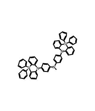 CN(c1ccc(N2c3ccccc3[Si](c3ccccc3)(c3ccccc3)c3ccccc32)cc1)c1ccc(N2c3ccccc3[Si](c3ccccc3)(c3ccccc3)c3ccccc32)cc1